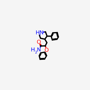 NC(=O)C(CC1CCNCC1c1ccccc1)Oc1ccccc1